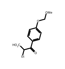 CCC(C(=O)O)C(=O)c1ccc(OCOC)cc1